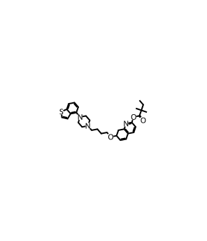 CCC(C)(C)C(=O)Oc1ccc2c(n1)CC(OCCCCN1CCN(c3cccc4sccc34)CC1)C=C2